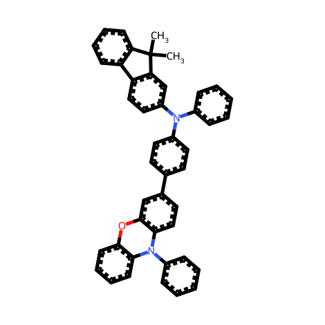 CC1(C)c2ccccc2-c2ccc(N(c3ccccc3)c3ccc(-c4ccc5c(c4)Oc4ccccc4N5c4ccccc4)cc3)cc21